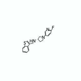 Fc1ccc(N2CC[C@H](NCc3csc4ccccc34)C2)cn1